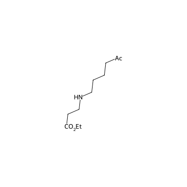 CCOC(=O)CCNCCCCC(C)=O